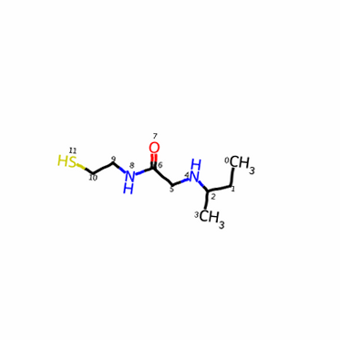 CCC(C)NCC(=O)NCCS